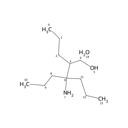 CCCC(CO)C(N)(CCC)CCC.O